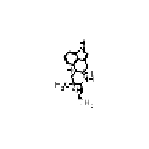 C=CCC1N[C@@H]2Cc3c[nH]c4cccc(c34)[C@H]2CC1(C)S